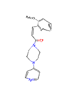 COc1ccccc1/C=C\C(=O)N1CCN(c2ccncc2)CC1